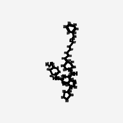 N[C@H]1CC[C@H](Nc2nc(NN3CCC(CCCCCCOCc4ccccc4)CC3)c3ncn(C4CCCC4)c3n2)CC1